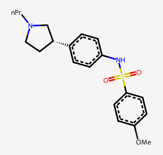 CCCN1CC[C@@H](c2ccc(NS(=O)(=O)c3ccc(OC)cc3)cc2)C1